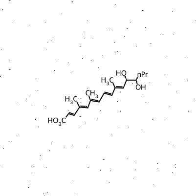 CCC[C@@H](O)[C@H](O)/C=C(C)/C=C/C=C(C)/C=C(C)/C=C/C(=O)O